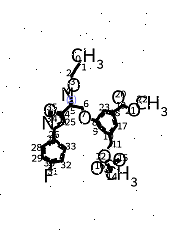 CCCO/N=C(\COc1cc(COS(C)(=O)=O)cc(C(=O)OC)c1)c1cc(-c2ccc(F)cc2)no1